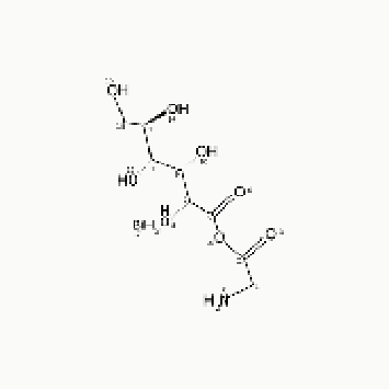 NCC(=O)OC(=O)[C@H](O)[C@@H](O)[C@H](O)[C@H](O)CO.[BiH3]